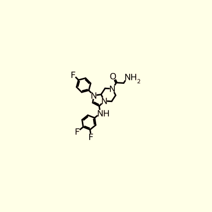 NCC(=O)N1CCN2C(Nc3ccc(F)c(F)c3)=CN(c3ccc(F)cc3)C2C1